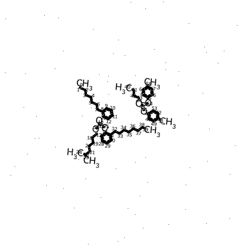 CCCCCCCCc1ccccc1OP(OCCCCCC(C)C)Oc1ccccc1CCCCCCCC.CCCCOP(Oc1ccc(C)cc1)Oc1ccc(C)cc1